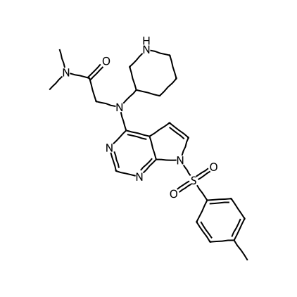 Cc1ccc(S(=O)(=O)n2ccc3c(N(CC(=O)N(C)C)C4CCCNC4)ncnc32)cc1